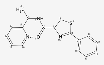 CC(NC(=O)C1CSC(c2ccccc2)=N1)c1ccccn1